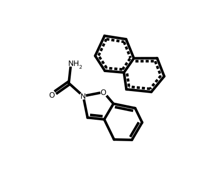 NC(=O)N1C=C2CC=CC=C2O1.c1ccc2ccccc2c1